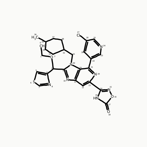 CCOC(c1cscn1)c1nc2cc(-c3noc(=O)[nH]3)nc(-c3cncc(Cl)c3)c2n1CC1CCC(C)CC1